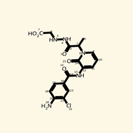 CC(C(=O)NNCC(=O)O)n1cccc(NC(=O)c2ccc(N)c(Cl)c2)c1=O